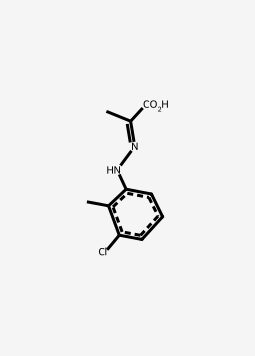 CC(=NNc1cccc(Cl)c1C)C(=O)O